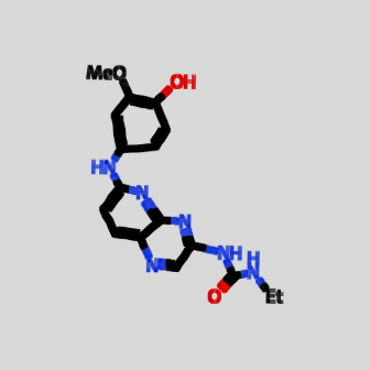 CCNC(=O)Nc1cnc2ccc(Nc3ccc(O)c(OC)c3)nc2n1